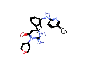 N#Cc1ccc(Nc2cccc3c2C[C@]32CC(=O)N(C3CCOCC3)C(=N)N2)nc1